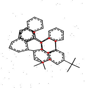 CC(C)(C)c1cc(-c2ccccc2N(c2ccccc2-c2cccc3cccc(C4CCCCC4)c23)c2cccc3ccccc23)cc(C(C)(C)C)c1